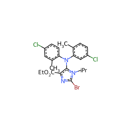 CCOC(=O)c1nc(Br)n(C(C)C)c1N(c1ccc(Cl)cc1C)c1cc(Cl)ccc1C